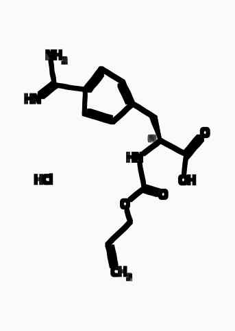 C=CCOC(=O)N[C@@H](Cc1ccc(C(=N)N)cc1)C(=O)O.Cl